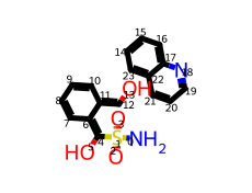 NS(=O)(=O)C(O)=c1ccccc1=CO.c1ccc2ncccc2c1